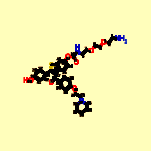 NCCOCCOCCNC(=O)Oc1ccc2c(C(=O)c3ccc(OCCN4CCCCC4)cc3)c(-c3ccc(O)cc3)sc2c1